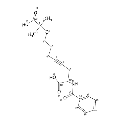 CC(C)(OCCCC#CCC(NC(=O)c1ccccc1)C(=O)O)C(=O)O